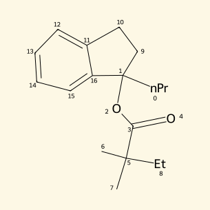 CCCC1(OC(=O)C(C)(C)CC)CCc2ccccc21